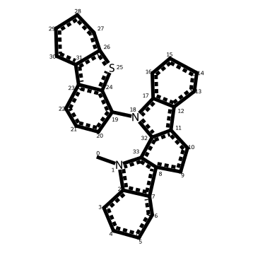 Cn1c2ccccc2c2ccc3c4ccccc4n(-c4cccc5c4sc4ccccc45)c3c21